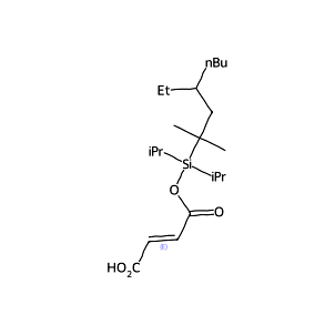 CCCCC(CC)CC(C)(C)[Si](OC(=O)/C=C/C(=O)O)(C(C)C)C(C)C